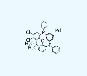 CC1(C)c2cccc(P(c3ccccc3)c3ccccc3)c2Oc2c(P(c3ccccc3)c3ccccc3)cc(Cl)c(Cl)c21.[Pd]